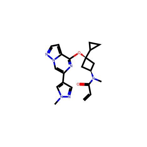 C=CC(=O)N(C)[C@H]1C[C@](Oc2nc(-c3cnn(C)c3)cn3nccc23)(C2CC2)C1